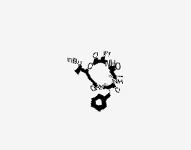 CCCCC(C)C1CC(=O)N[C@@H](Cc2ccccc2)C(=O)N[C@@H](C)C(=O)NC(C(C)C)C(=O)O1